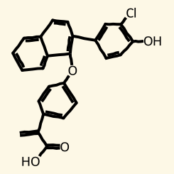 C=C(C(=O)O)c1ccc(Oc2c(-c3ccc(O)c(Cl)c3)ccc3ccccc23)cc1